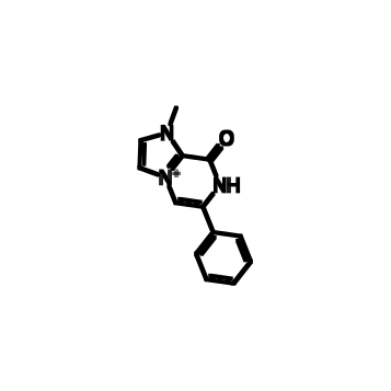 Cn1cc[n+]2cc(-c3ccccc3)[nH]c(=O)c12